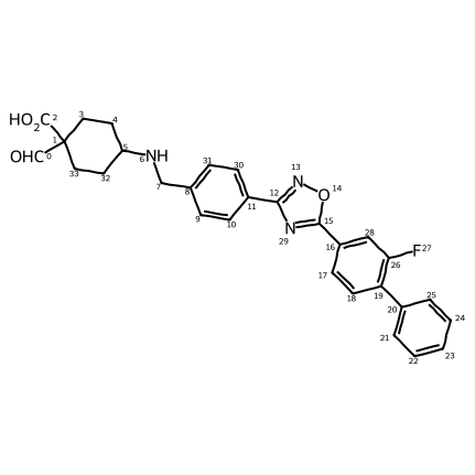 O=CC1(C(=O)O)CCC(NCc2ccc(-c3noc(-c4ccc(-c5ccccc5)c(F)c4)n3)cc2)CC1